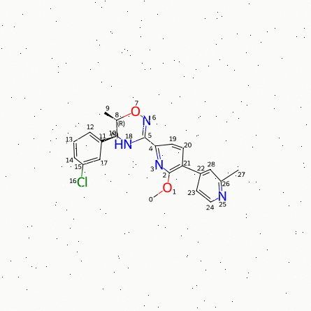 COc1nc(C2=NO[C@H](C)[C@H](c3cccc(Cl)c3)N2)ccc1-c1ccnc(C)c1